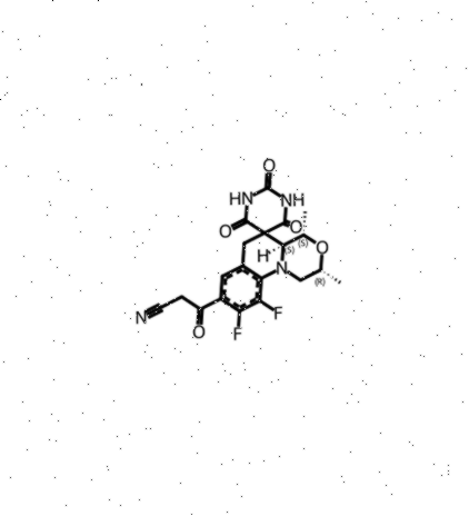 C[C@@H]1CN2c3c(cc(C(=O)CC#N)c(F)c3F)CC3(C(=O)NC(=O)NC3=O)[C@H]2[C@H](C)O1